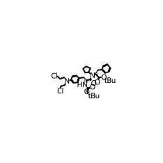 CC(C)(C)OC(=O)N[C@@H](Cc1ccc(N(CCCl)CCCl)cc1)C(=O)N(C1CCCC1)[C@@H](Cc1ccccc1)C(=O)OC(C)(C)C